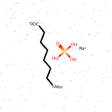 CCCCCCCCCCCCCCCC(=O)[O-].O=P(O)(O)O.[Na+]